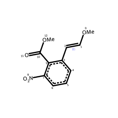 CO/C=C/c1cccc([N+](=O)[O-])c1C(=O)OC